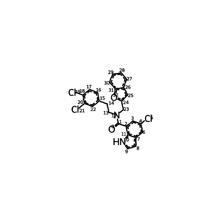 O=C(c1cc(Cl)cc2cc[nH]c12)N(CCc1ccc(Cl)c(Cl)c1)Cc1cc2ccccc2o1